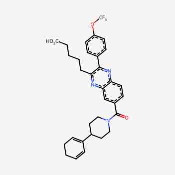 O=C(O)CCCCc1nc2cc(C(=O)N3CCC(C4=CCCC=C4)CC3)ccc2nc1-c1ccc(OC(F)(F)F)cc1